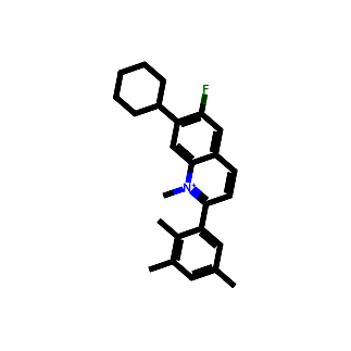 Cc1cc(C)c(C)c(-c2ccc3cc(F)c(C4CCCCC4)cc3[n+]2C)c1